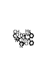 C[C@@H]1CCn2nc(-c3cncc(Cl)c3)c(C(=O)N[C@H]3N=C(c4ccccc4)c4cccc(F)c4NC3=O)c2O1